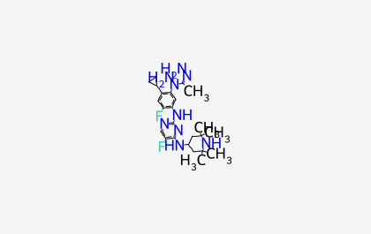 C/C(=N/N)N(N)c1cc(Nc2ncc(F)c(NC3CC(C)(C)NC(C)(C)C3)n2)c(F)cc1C1CC1